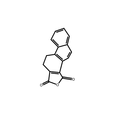 O=C1OC(=O)C2=C1CCc1c2ccc2ccccc12